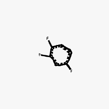 Fc1[c]c(F)c(F)[c]c1